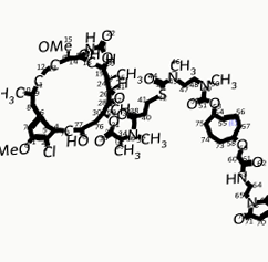 COC1=C(Cl)C2CC(=C1)CC(C)CCC[C@@H](OC)[C@@]1(O)C[C@H](OC(=O)N1)[C@@H](C)[C@@H]1O[C@@]1(C)[C@@H](OC(=O)[C@H](C)N(C)C(=O)CCSC(=O)N(C)CCN(C)C(=O)OC1/C=C/CC(OCC(=O)NCCN3C(=O)C=CC3=O)CCC1)CC(O)C2